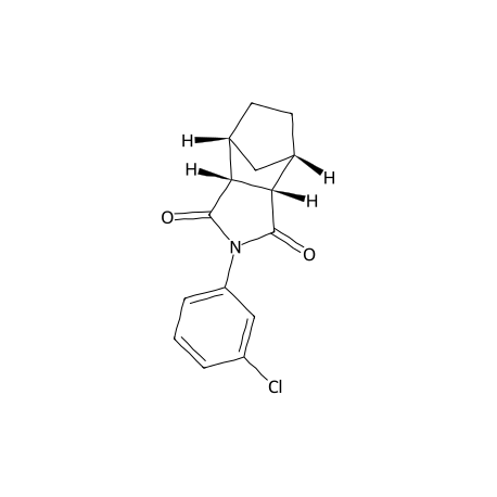 O=C1[C@@H]2[C@@H]3CC[C@@H](C3)[C@@H]2C(=O)N1c1cccc(Cl)c1